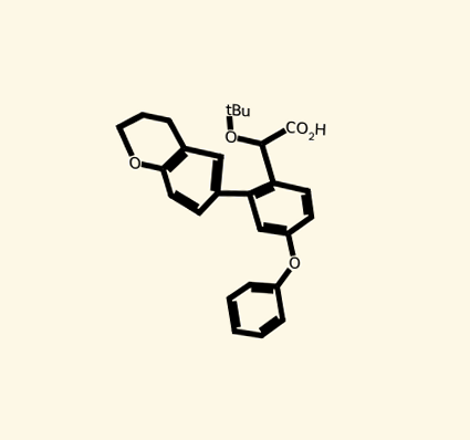 CC(C)(C)OC(C(=O)O)c1ccc(Oc2ccccc2)cc1-c1ccc2c(c1)CCCO2